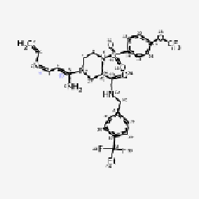 C=C/N=C\C=C(/N)N1CCN(S(=O)(=O)c2ccc(OC(F)(F)F)cc2)[C@@H](C(=O)NCc2ccc(C(F)(F)CC)cc2)C1